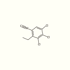 [C-]#[N+]c1cc(Cl)c(Cl)c(Cl)c1CC